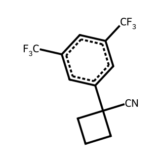 N#CC1(c2cc(C(F)(F)F)cc(C(F)(F)F)c2)CCC1